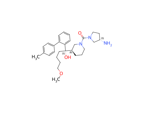 COCCCC[C@@](O)(c1ccccc1-c1ccc(C)cc1)[C@@H]1CCCN(C(=O)N2CC[C@H](N)C2)C1